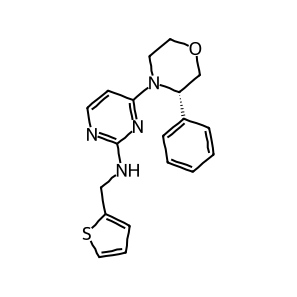 c1ccc([C@H]2COCCN2c2ccnc(NCc3cccs3)n2)cc1